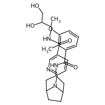 COc1cccc(C(=O)NC2CC3CCC(C2)N3c2ccc(C(=O)NCC(O)CO)cn2)c1C